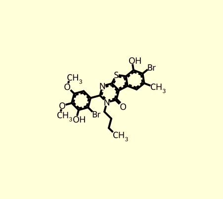 CCCCn1c(-c2cc(OC)c(OC)c(O)c2Br)nc2sc3c(O)c(Br)c(C)cc3c2c1=O